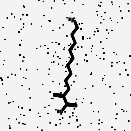 CCCCCCCCCCC(=O)C(=O)O